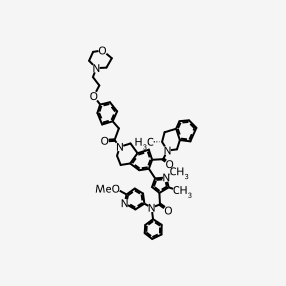 COc1ccc(N(C(=O)c2cc(-c3cc4c(cc3C(=O)N3Cc5ccccc5C[C@H]3C)CN(C(=O)Cc3ccc(OCCN5CCOCC5)cc3)CC4)n(C)c2C)c2ccccc2)cn1